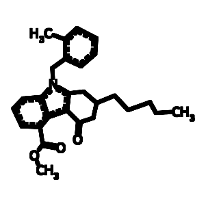 CCCCCC1CC(=O)c2c(n(Cc3ccccc3C)c3cccc(C(=O)OC)c23)C1